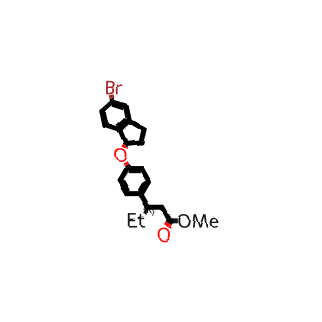 CC[C@H](CC(=O)OC)c1ccc(OC2CCc3cc(Br)ccc32)cc1